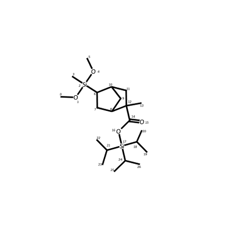 CO[Si](C)(OC)C1CC2CC1CC2(C)C(=O)O[Si](C(C)C)(C(C)C)C(C)C